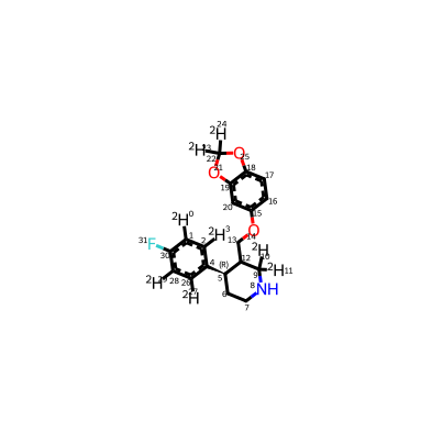 [2H]c1c([2H])c([C@@H]2CCNC([2H])([2H])C2COc2ccc3c(c2)OC([2H])([2H])O3)c([2H])c([2H])c1F